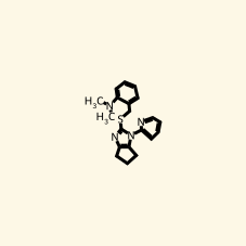 CN(C)c1ccccc1CSc1nc2c(n1-c1ccccn1)CCC2